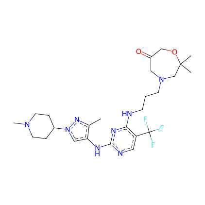 Cc1nn(C2CCN(C)CC2)cc1Nc1ncc(C(F)(F)F)c(NCCCN2CC(=O)COC(C)(C)C2)n1